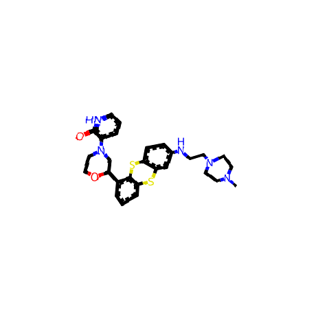 CN1CCN(CCNc2ccc3c(c2)Sc2cccc(C4CN(c5ccc[nH]c5=O)CCO4)c2S3)CC1